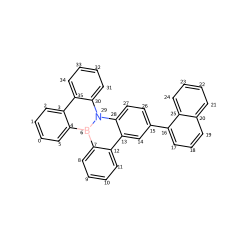 c1ccc2c(c1)B1c3ccccc3-c3cc(-c4cccc5ccccc45)ccc3N1c1ccccc1-2